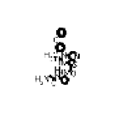 Cc1cc(Oc2ccccc2)ccc1N1C(=O)Nc2c(C(=O)N[C@@H]3CCC[C@@H]3NC(=O)CN)sc3nccc1c23